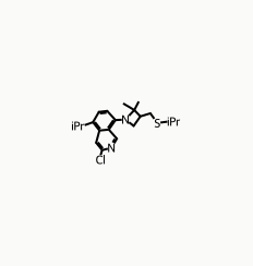 CC(C)SCC1CN(c2ccc(C(C)C)c3cc(Cl)ncc23)C1(C)C